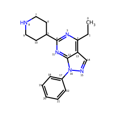 CCc1nc(C2CCNCC2)nc2c1cnn2-c1ccccc1